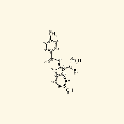 CCC(C(=O)O)n1c(=NC(=O)c2ccc(C)cc2)sc2ccc(O)cc21